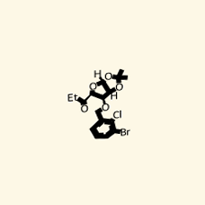 CCC(=O)[C@H]1O[C@@H]2OC(C)(C)O[C@@H]2[C@H]1OCc1cccc(Br)c1Cl